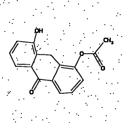 CC(=O)Oc1cccc2c1Cc1c(O)cccc1C2=O